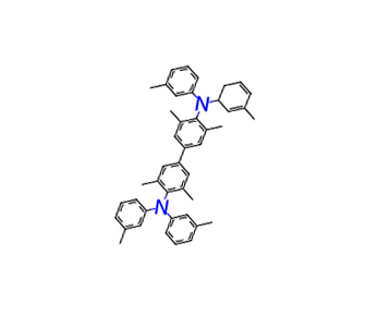 CC1=CC(N(c2cccc(C)c2)c2c(C)cc(-c3cc(C)c(N(c4cccc(C)c4)c4cccc(C)c4)c(C)c3)cc2C)CC=C1